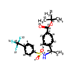 C[C@@H](NS(=O)(=O)c1ccc(C(F)(F)F)cc1)c1ccc(C(=O)OC(C)(C)C)cc1